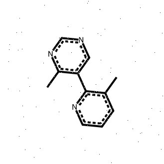 Cc1cccnc1-c1cn[c]nc1C